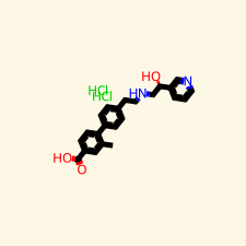 Cc1cc(C(=O)O)ccc1-c1ccc(CCNC[C@@H](O)c2cccnc2)cc1.Cl.Cl